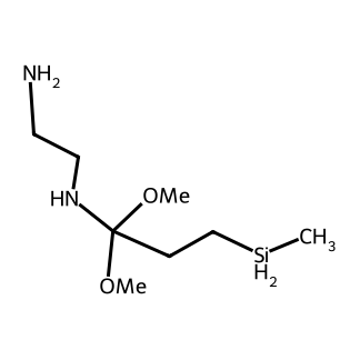 COC(CC[SiH2]C)(NCCN)OC